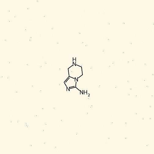 Nc1ncc2n1CCNC2